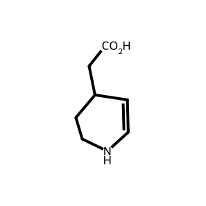 O=C(O)CC1C=CNCC1